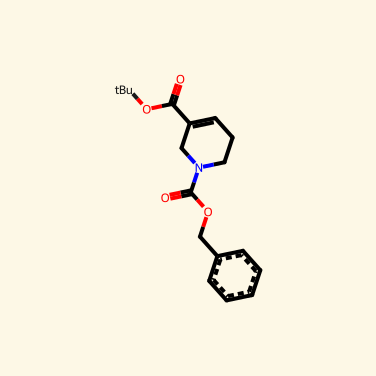 CC(C)(C)OC(=O)C1=CCCN(C(=O)OCc2ccccc2)C1